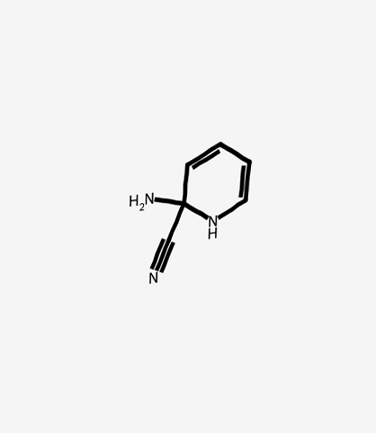 N#CC1(N)C=CC=CN1